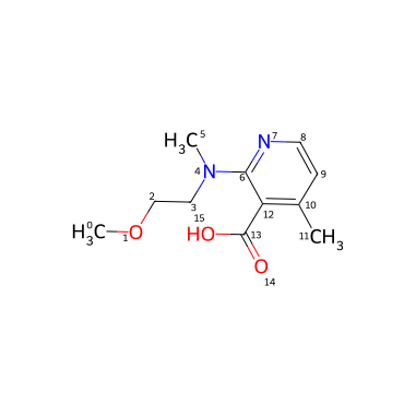 COCCN(C)c1nccc(C)c1C(=O)O